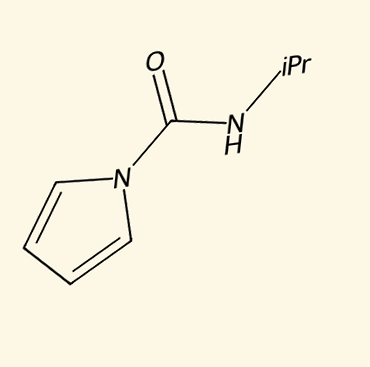 CC(C)NC(=O)n1cccc1